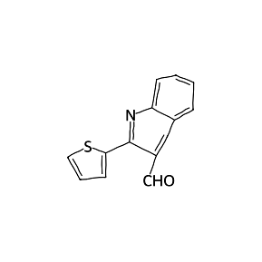 O=Cc1cc2ccccc2nc1-c1cccs1